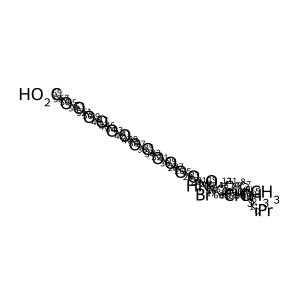 CC(C)CCC[C@@H](C)[C@H]1CCC2C3CC=C4CC(C(Br)C(=O)NCCOCCOCCOCCOCCOCCOCCOCCOCCOCCOCCOCCOCCC(=O)O)CC[C@]4(C)C3CC[C@@]21C